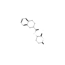 O=C1CCC(NC(=O)C2CCc3ccccc3C2)C(=O)N1